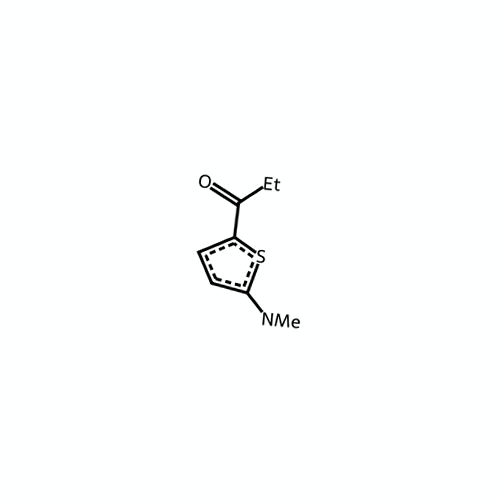 CCC(=O)c1ccc(NC)s1